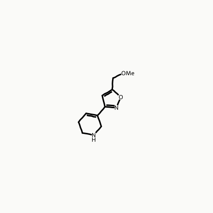 COCc1cc(C2=CCCNC2)no1